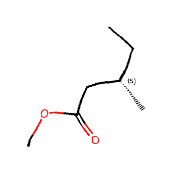 CC[C@H](C)CC(=O)OC